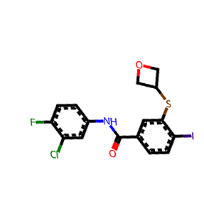 O=C(Nc1ccc(F)c(Cl)c1)c1ccc(I)c(SC2COC2)c1